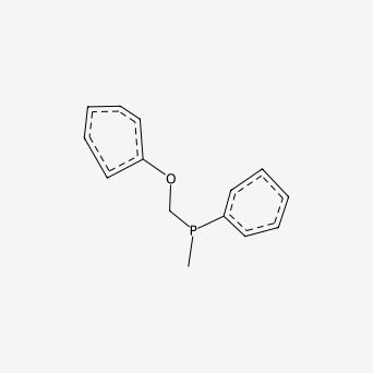 CP(COc1ccccc1)c1ccccc1